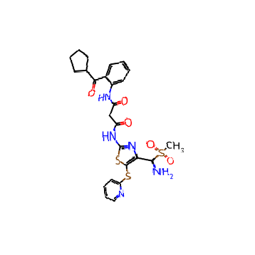 CS(=O)(=O)C(N)c1nc(NC(=O)CC(=O)Nc2ccccc2C(=O)C2CCCC2)sc1Sc1ccccn1